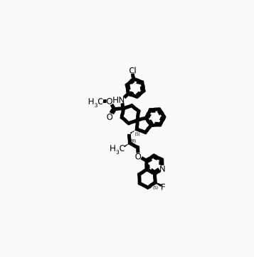 COC(=O)C1(Nc2cccc(Cl)c2)CCC2(CC1)c1ccccc1C[C@@H]2C[C@@H](C)COc1ccnc2c1CCC[C@@H]2F